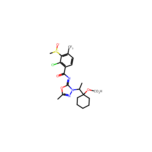 Cc1nn(C(C)C2(OC(=O)O)CCCCC2)c(=NC(=O)c2ccc(C(F)(F)F)c([S+](C)[O-])c2Cl)o1